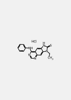 CCn1c(=S)[nH]c2cc3c(Nc4ccccc4)ncnc3cc21.Cl